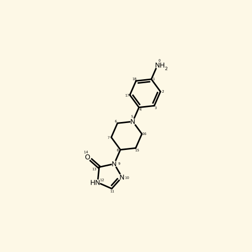 Nc1ccc(N2CCC(n3nc[nH]c3=O)CC2)cc1